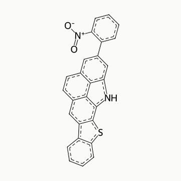 O=[N+]([O-])c1ccccc1-c1cc2ccc3cc4c5ccccc5sc4c4[nH]c(c1)c2c34